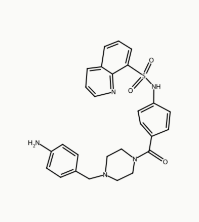 Nc1ccc(CN2CCN(C(=O)c3ccc(NS(=O)(=O)c4cccc5cccnc45)cc3)CC2)cc1